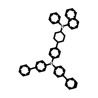 c1ccc(-c2ccc(N(c3ccc(-c4ccccc4)cc3)c3ccc(C4CCC(N(c5ccccc5)c5cccc6ccccc56)CC4)cc3)cc2)cc#1